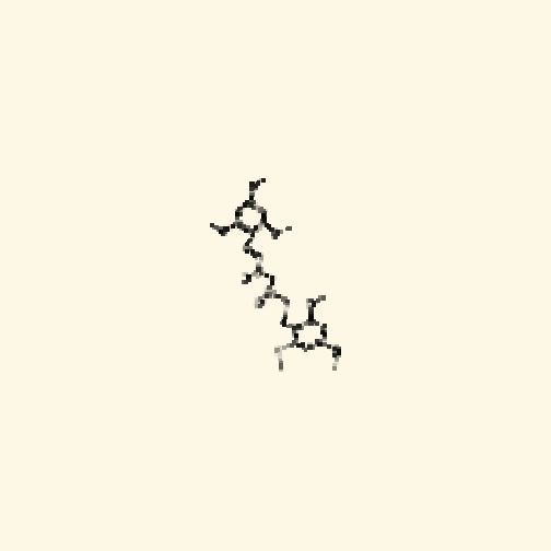 COc1cc(OC)c(C=C[S+]([O-])C[S+]([O-])C=Cc2c(OC)cc(OC)cc2OC)c(OC)c1